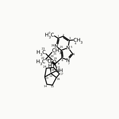 Cc1cc(C)n2cnc(C(=O)N[C@H]3C4CCC3C[C@H](OC(C)(C)C)C4)c2n1